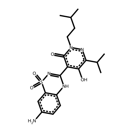 CC(C)CCn1nc(C(C)C)c(O)c(C2=NS(=O)(=O)c3cc(N)ccc3N2)c1=O